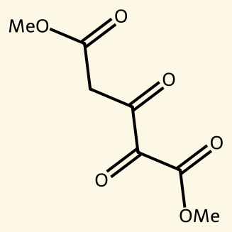 COC(=O)CC(=O)C(=O)C(=O)OC